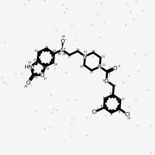 O=C(OCc1cc(Cl)cc(Cl)c1)N1CCN(CC[S@+]([O-])c2ccc3[nH]c(=O)oc3c2)CC1